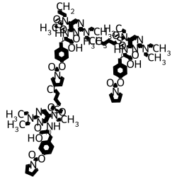 C=CCN(c1cnc(N(CC)CC)nc1N[C@@H](Cc1ccc(OC(=O)N2CCCC2)cc1)C(=O)O)S(C)(=O)=O.CCCCS(=O)(=O)N(CC)c1cnc(N(CC)CC)nc1N[C@@H](Cc1ccc(OC(=O)N2CCCC2)cc1)C(=O)O.CCN(CC)c1ncc(N(CC)S(=O)(=O)CCCCl)c(N[C@@H](Cc2ccc(OC(=O)N3CCCC3)cc2)C(=O)O)n1